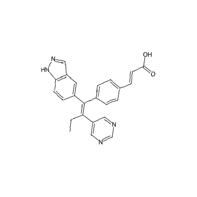 CC/C(=C(/c1ccc(/C=C/C(=O)O)cc1)c1ccc2[nH]ncc2c1)c1cncnc1